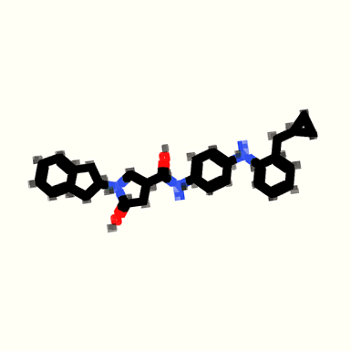 O=C(Nc1ccc(Nc2ccccc2CC2CC2)cc1)C1CC(=O)N(C2Cc3ccccc3C2)C1